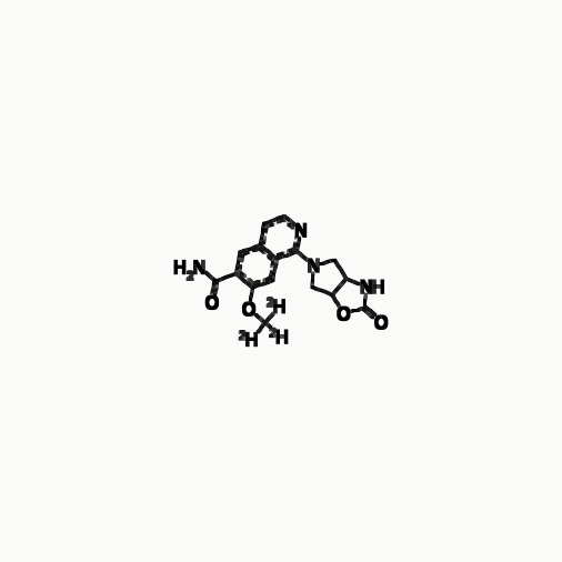 [2H]C([2H])([2H])Oc1cc2c(N3CC4NC(=O)OC4C3)nccc2cc1C(N)=O